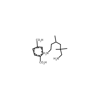 CC(CCN)CC(C)(C)CN.O=C(O)c1ccc(C(=O)O)cc1